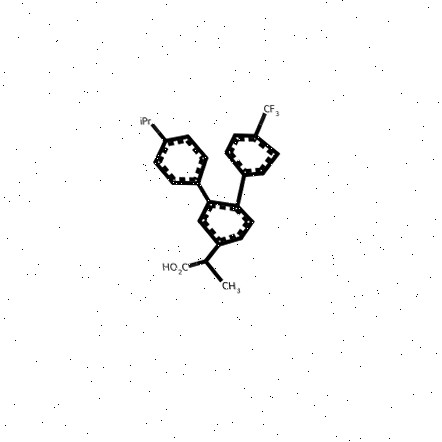 CC(C)c1ccc(-c2cc(C(C)C(=O)O)ccc2-c2ccc(C(F)(F)F)cc2)cc1